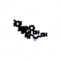 COc1cccc(O)c1-n1c(C/C=C\CCO)nnc1NSC(C)C(C)c1cnc(C)cn1